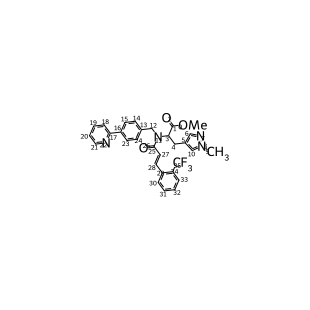 COC(=O)C(Cc1cnn(C)c1)N(Cc1ccc(-c2ccccn2)cc1)C(=O)C=Cc1ccccc1C(F)(F)F